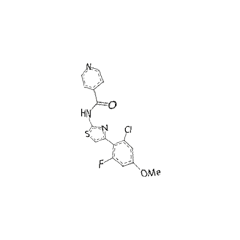 COc1cc(F)c(-c2csc(NC(=O)c3ccncc3)n2)c(Cl)c1